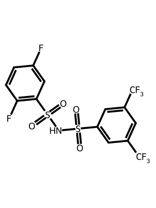 O=S(=O)(NS(=O)(=O)c1cc(F)ccc1F)c1cc(C(F)(F)F)cc(C(F)(F)F)c1